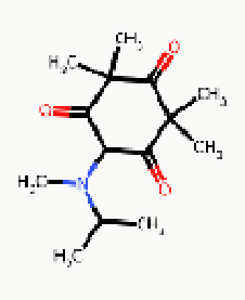 CC(C)N(C)C1C(=O)C(C)(C)C(=O)C(C)(C)C1=O